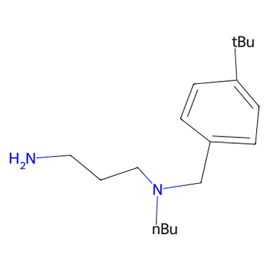 CCCCN(CCCN)Cc1ccc(C(C)(C)C)cc1